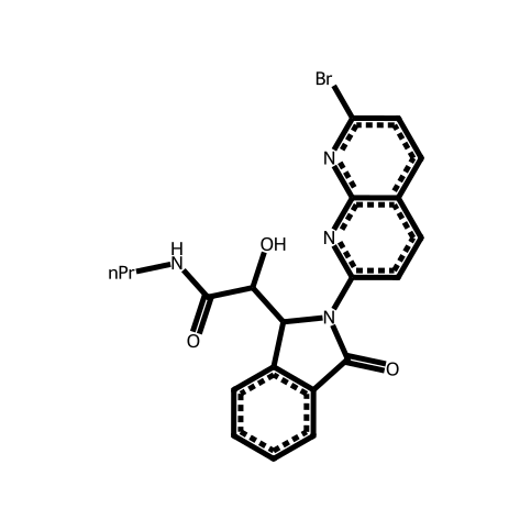 CCCNC(=O)C(O)C1c2ccccc2C(=O)N1c1ccc2ccc(Br)nc2n1